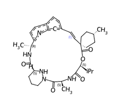 CC(C)[C@@H]1OC(=O)[C@]2(/C=C/c3ccc4ccc(nc4c3)[C@@H](C)NC(=O)[C@@H]3CCCN(N3)C(=O)[C@H](C)NC1=O)CC[C@@H](C)CC2